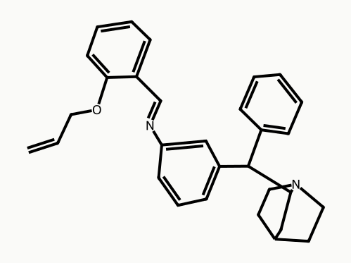 C=CCOc1ccccc1C=Nc1cccc(C(c2ccccc2)C2CC3CCN2CC3)c1